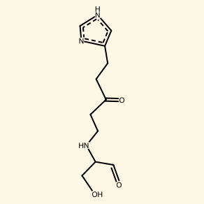 O=CC(CO)NCCC(=O)CCc1c[nH]cn1